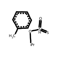 CC(C)O[SH](=O)=S.Cc1ccccc1